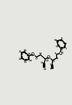 C#CC(CCOc1ccccc1)OC(C#C)CCOc1ccccc1